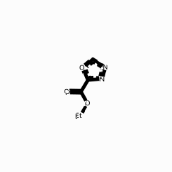 CCOC(=O)c1nn[c]o1